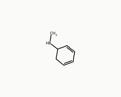 CBC1C=CC=CC1